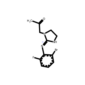 CC(=O)CN1CCN/C1=N\c1c(F)cccc1Br